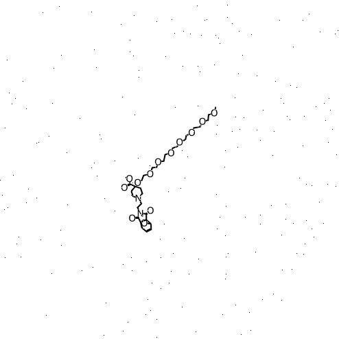 COCCOCCOCCOCCOCCOCCOCCOC1(C(=O)OC)CCN(CCN2C(=O)C3C4C=CC(O4)C3C2=O)CC1